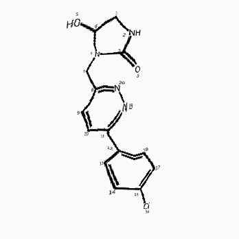 O=C1NCC(O)N1Cc1ccc(-c2ccc(Cl)cc2)nn1